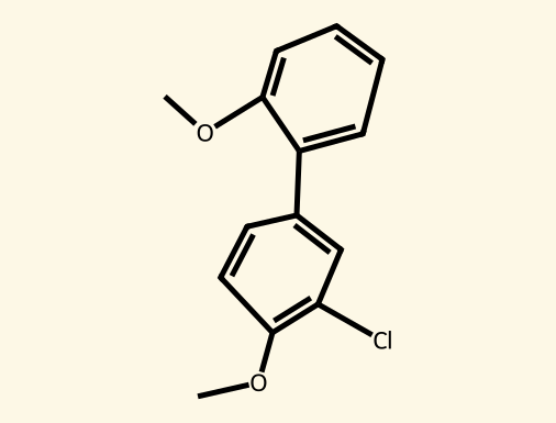 COc1ccc(-c2ccccc2OC)cc1Cl